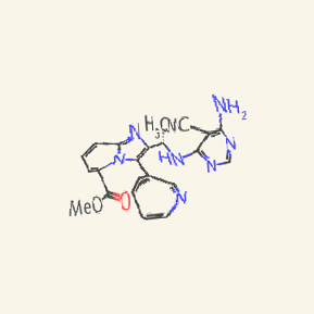 COC(=O)c1cccc2nc([C@H](C)Nc3ncnc(N)c3C#N)c(-c3cccnc3)n12